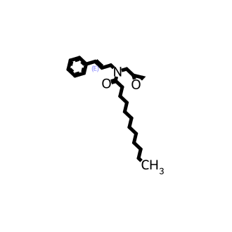 CCCCCCCCCCCC(=O)N(C/C=C/c1ccccc1)CC1CO1